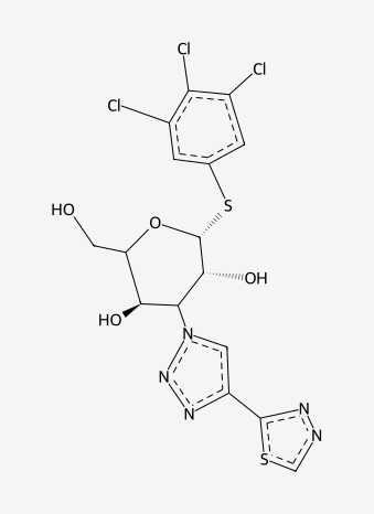 OCC1O[C@H](Sc2cc(Cl)c(Cl)c(Cl)c2)[C@H](O)C(n2cc(-c3nncs3)nn2)[C@H]1O